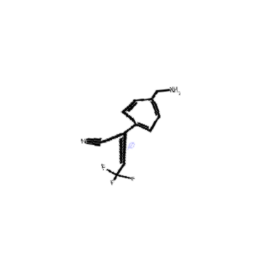 N#C/C(=C\C(F)(F)F)c1ccc(CN)cc1